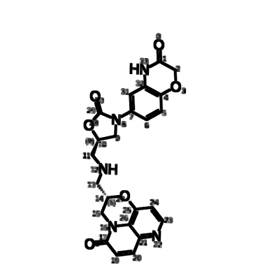 O=C1COc2ccc(N3C[C@@H](CNC[C@H]4Cn5c(=O)ccc6nccc(c65)O4)OC3=O)cc2N1